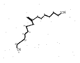 C=C(CCCCCCC#N)CCCCCCC#N